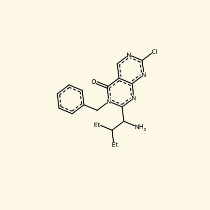 CCC(CC)C(N)c1nc2nc(Cl)ncc2c(=O)n1Cc1ccccc1